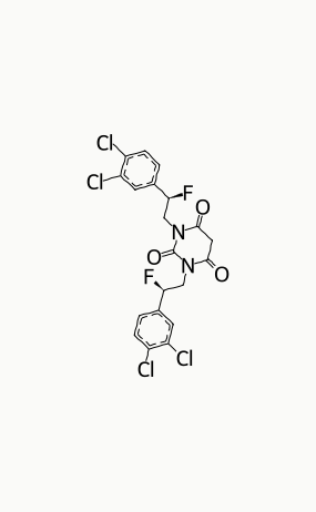 O=C1CC(=O)N(C[C@H](F)c2ccc(Cl)c(Cl)c2)C(=O)N1C[C@H](F)c1ccc(Cl)c(Cl)c1